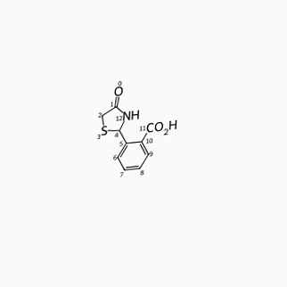 O=C1CSC(c2ccccc2C(=O)O)N1